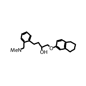 CNCc1ccccc1CCC(O)COc1ccc2c(c1)CCCC2